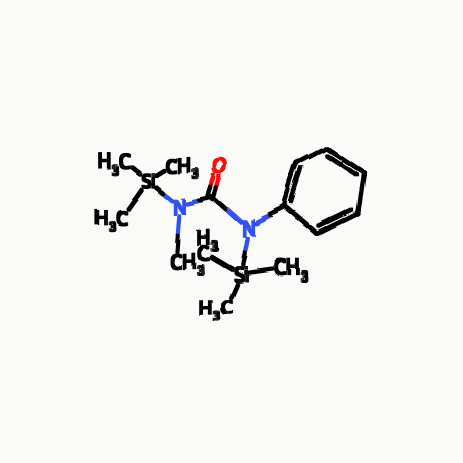 CN(C(=O)N(c1ccccc1)[Si](C)(C)C)[Si](C)(C)C